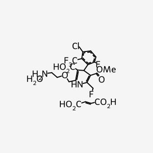 COC(=O)C1=C(CF)NC(COCCN)=C(C(=O)O)C1c1c(F)ccc(Cl)c1C(F)(F)F.O.O=C(O)C=CC(=O)O